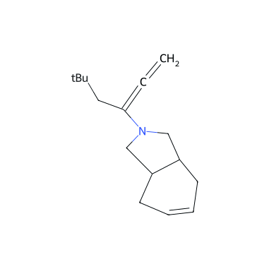 C=C=C(CC(C)(C)C)N1CC2CC=CCC2C1